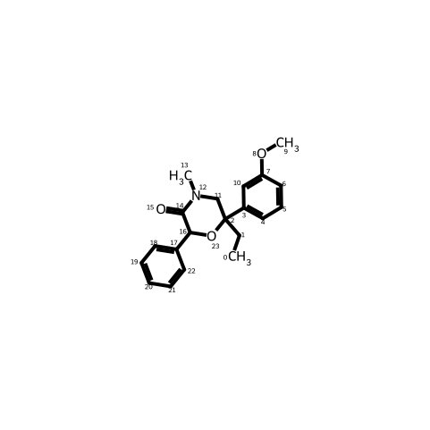 CCC1(c2cccc(OC)c2)CN(C)C(=O)C(c2ccccc2)O1